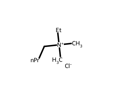 CCCC[N+](C)(C)CC.[Cl-]